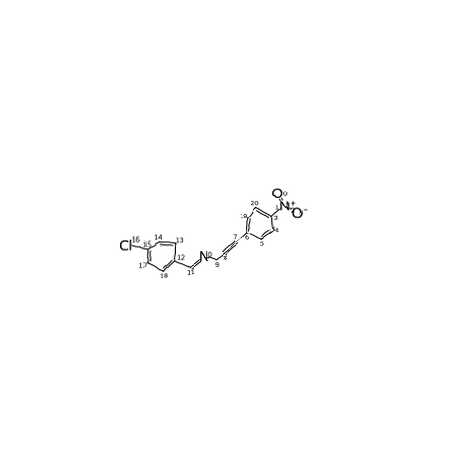 O=[N+]([O-])c1ccc(C#CC/N=C/c2ccc(Cl)cc2)cc1